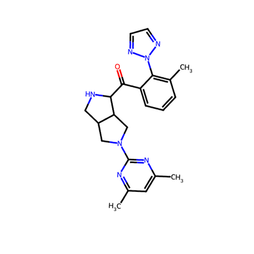 Cc1cc(C)nc(N2CC3CNC(C(=O)c4cccc(C)c4-n4nccn4)C3C2)n1